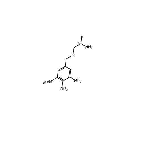 CNc1cc(COC[C@@H](C)N)cc(N)c1N